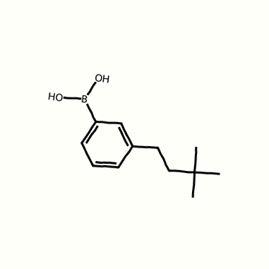 CC(C)(C)CCc1cccc(B(O)O)c1